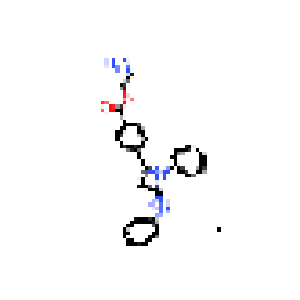 NCCOC(=O)c1ccc(C2C/C(=N\c3ccccc3)N2c2ccccc2)cc1